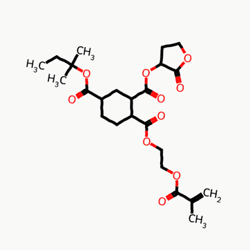 C=C(C)C(=O)OCCOC(=O)C1CCC(C(=O)OC(C)(C)CC)CC1C(=O)OC1CCOC1=O